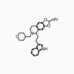 CCCC1Oc2cc3c(cc2O1)C(CCc1c[nH]c2ccccc12)N(CC1CCOCC1)CC3